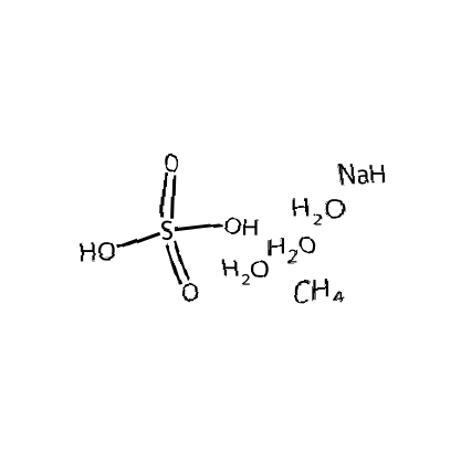 C.O.O.O.O=S(=O)(O)O.[NaH]